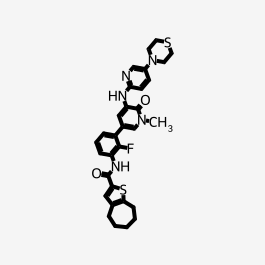 Cn1cc(-c2cccc(NC(=O)c3cc4c(s3)CCCCC4)c2F)cc(Nc2ccc(N3CCSCC3)cn2)c1=O